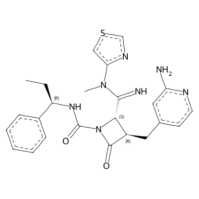 CC[C@@H](NC(=O)N1C(=O)[C@H](Cc2ccnc(N)c2)[C@H]1C(=N)N(C)c1cscn1)c1ccccc1